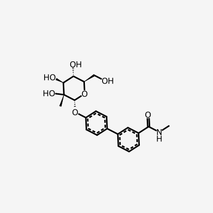 CNC(=O)c1cccc(-c2ccc(O[C@H]3O[C@H](CO)[C@@H](O)[C@H](O)[C@@]3(C)O)cc2)c1